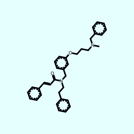 CN(CCCOc1cccc(CN(CCc2ccccc2)C(=O)C=Cc2ccccc2)c1)Cc1ccccc1